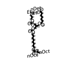 CCCCCCCCCCOC(=O)CCCCCC(=O)OCC(COC(=O)OCCCCCCCCOC(=O)OC(CCCCCCCC)CCCCCCCC)COC(=O)OCCCN(CC)CC